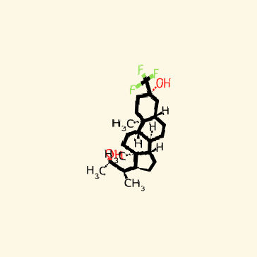 C[C@@H]([C@H](C)O)[C@@H]1CC[C@H]2[C@@H]3CC[C@H]4C[C@](O)(C(F)(F)F)CC[C@]4(C)[C@H]3CC[C@]12C